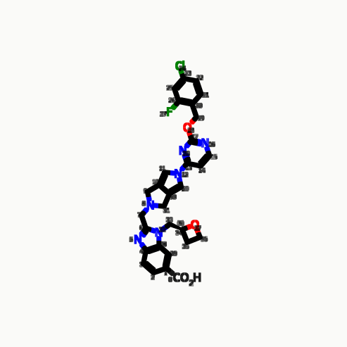 O=C(O)c1ccc2nc(CN3Cc4cn(-c5ccnc(OCc6ccc(Cl)cc6F)n5)cc4C3)n(C[C@@H]3CCO3)c2c1